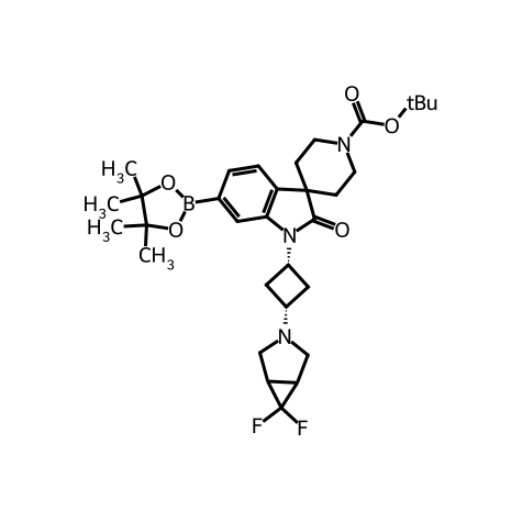 CC(C)(C)OC(=O)N1CCC2(CC1)C(=O)N([C@H]1C[C@@H](N3CC4C(C3)C4(F)F)C1)c1cc(B3OC(C)(C)C(C)(C)O3)ccc12